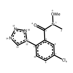 CON(C)C(=O)c1cc(Cl)ccc1-n1cnnn1